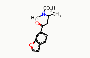 CC(CC(=O)c1ccc2ccoc2c1)N(C)C(=O)O